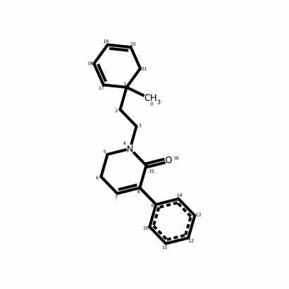 CC1(CCN2CCC=C(c3ccccc3)C2=O)C=CC=CC1